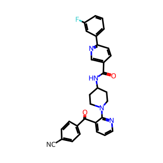 N#Cc1ccc(C(=O)c2cccnc2N2CCC(NC(=O)c3ccc(-c4cccc(F)c4)nc3)CC2)cc1